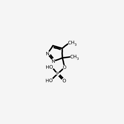 CC1=CN=NC1(C)OP(=O)(O)O